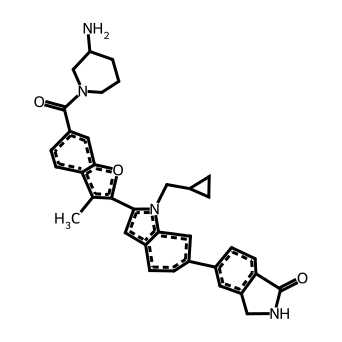 Cc1c(-c2cc3ccc(-c4ccc5c(c4)CNC5=O)cc3n2CC2CC2)oc2cc(C(=O)N3CCCC(N)C3)ccc12